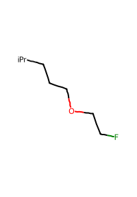 CC(C)CCCOCCF